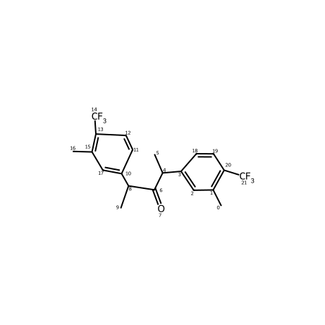 Cc1cc(C(C)C(=O)C(C)c2ccc(C(F)(F)F)c(C)c2)ccc1C(F)(F)F